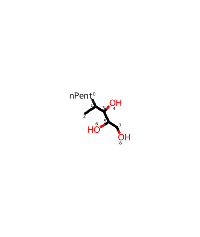 CCCCCC(C)C(O)C(O)CO